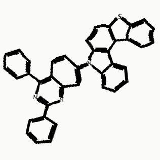 c1ccc(-c2nc(-c3ccccc3)c3ccc(-n4c5ccccc5c5c6c(ccc54)sc4ccccc46)cc3n2)cc1